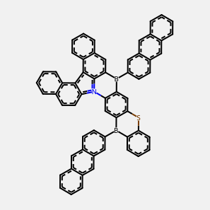 c1ccc2c(c1)Sc1cc3c(cc1B2c1ccc2cc4ccccc4cc2c1)-n1c2ccc4ccccc4c2c2c4ccccc4cc(c21)B3c1ccc2cc3ccccc3cc2c1